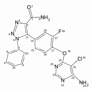 NC(=O)c1nnn(-c2ccccc2)c1-c1ccc(Oc2ncnc(N)c2Cl)c(F)c1